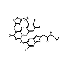 Cn1cnc(Cn2c(=O)nc(Nc3cc4cn(CC(=O)NC5CC5)nc4cc3Cl)n(Cc3cc(F)c(F)c(Cl)c3)c2=O)n1